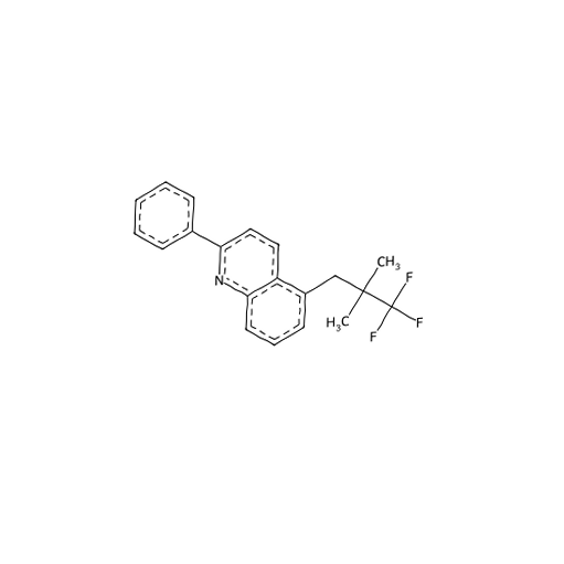 CC(C)(Cc1cccc2nc(-c3ccccc3)ccc12)C(F)(F)F